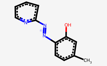 Cc1ccc(/N=N/c2ccccn2)c(O)c1